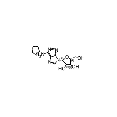 C1CCCC1.Nc1ncnc2c1ncn2[C@@H]1O[C@H](CO)[C@@H](O)[C@H]1O